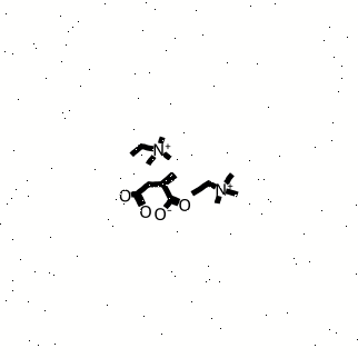 C=C(CC(=O)[O-])C(=O)[O-].CC[N+](C)(C)C.CC[N+](C)(C)C